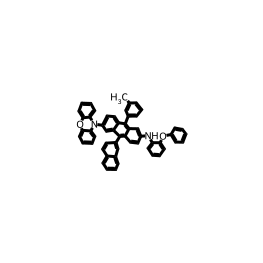 Cc1cccc(-c2c3ccc(N4c5ccccc5Oc5ccccc54)cc3c(-c3ccc4ccccc4c3)c3ccc(Nc4ccccc4Oc4ccccc4)cc23)c1